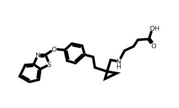 O=C(O)CCCNCC1(CCc2ccc(Oc3nc4ccccc4s3)cc2)CC1